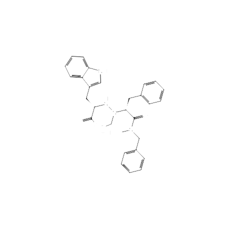 CCN(N[C@H](Cc1c[nH]c2ccccc12)C(=O)O)[C@@H](Cc1ccccc1)C(=O)N(C)Cc1ccccc1